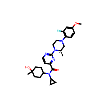 COc1ccc(N2CCN(c3nccc(C(=O)N(C4CC4)C4CCC(C)(O)CC4)n3)[C@H](C)C2)c(F)c1